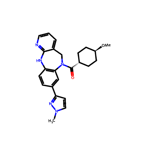 CO[C@H]1CC[C@H](C(=O)N2Cc3cccnc3Nc3ccc(-c4ccn(C)n4)cc32)CC1